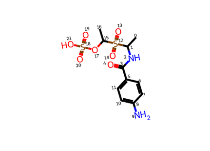 CC(NC(=O)c1ccc(N)cc1)S(=O)(=O)C(C)OS(=O)(=O)O